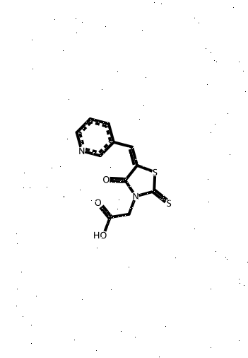 O=C(O)CN1C(=O)/C(=C\c2cccnc2)SC1=S